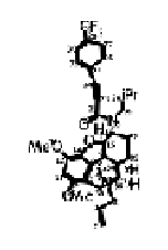 C=CCN1CC[C@]23c4c5c(OC(C)=O)cc(OC)c4O[C@H]2[C@H](N(CC(C)C)C(=O)C#Cc2ccc(C(F)(F)F)cc2)CC[C@H]3[C@H]1C5